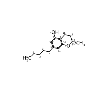 CCCCCc1cc(O)c2c(c1)O[C@H](C)CC2